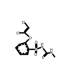 CNC(=S)NS(=O)(=O)c1ccccc1OC(Cl)=CCl